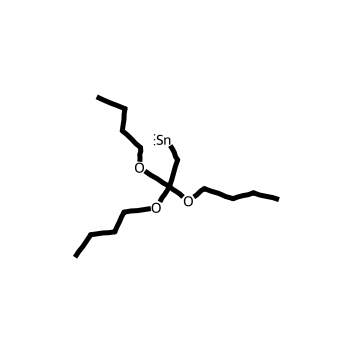 CCCCOC([CH2][Sn])(OCCCC)OCCCC